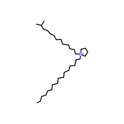 CCCCCCCCCCCCCCCC[N+]1(CCCCCCCCCCCC(C)C)CCCC1